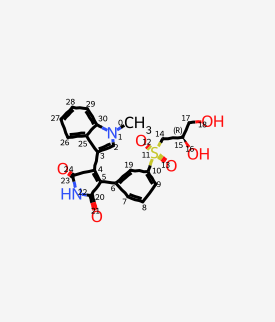 Cn1cc(C2=C(c3cccc(S(=O)(=O)C[C@H](O)CO)c3)C(=O)NC2=O)c2ccccc21